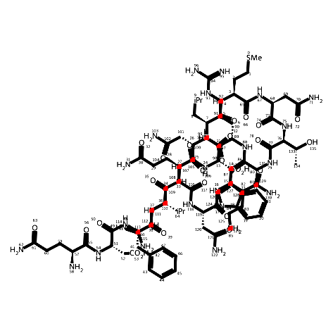 CSCC[C@H](NC(=O)[C@H](CC(C)C)NC(=O)[C@H](Cc1c[nH]c2ccccc12)NC(=O)[C@H](CCC(N)=O)NC(=O)[C@@H](NC(=O)[C@H](Cc1ccccc1)NC(=O)[C@H](CC(=O)O)NC(=O)[C@@H](N)CCC(N)=O)C(C)C)C(=O)N[C@@H](CC(N)=O)C(=O)N[C@H](C(=O)N[C@@H](CCCCN)C(=O)N[C@@H](CCCNC(=N)N)C(=O)N[C@@H](CC(N)=O)C(=O)N[C@@H](CCCNC(=N)N)C(=O)N[C@@H](CC(N)=O)C(=O)N[C@@H](CC(N)=O)C(=O)O)[C@@H](C)O